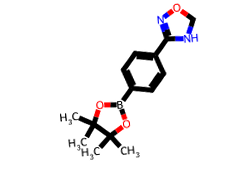 CC1(C)OB(c2ccc(C3=NOCN3)cc2)OC1(C)C